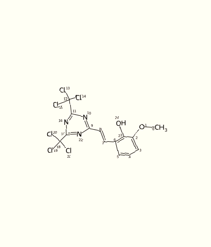 COc1cccc(C=Cc2nc(C(Cl)(Cl)Cl)nc(C(Cl)(Cl)Cl)n2)c1O